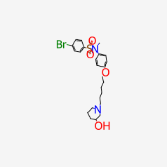 CN(c1ccc(OCCCCCCN2CCCC(O)C2)cc1)S(=O)(=O)c1ccc(Br)cc1